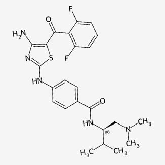 CC(C)[C@H](CN(C)C)NC(=O)c1ccc(Nc2nc(N)c(C(=O)c3c(F)cccc3F)s2)cc1